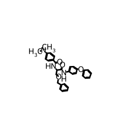 CN(C)c1ccc(C(=O)NC(COCc2ccccc2)C(=O)Nc2ccc(Oc3ccccc3)cc2)cc1